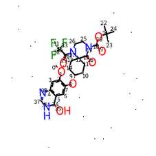 COc1cc2c(cc1O[C@H]1CC[C@]3(CC1)C(=O)N(C(=O)OC(C)(C)C)CCN3C(=O)C(F)(F)F)C(O)NC=N2